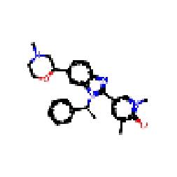 Cc1cc(-c2nc3ccc(C4CN(C)CCO4)cc3n2[C@@H](C)c2ccccc2)cn(C)c1=O